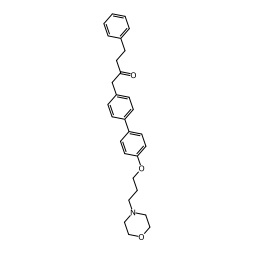 O=C(CCc1ccccc1)Cc1ccc(-c2ccc(OCCCN3CCOCC3)cc2)cc1